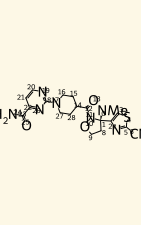 CN[C@@]1(c2csc(C#N)n2)CCON1C(=O)C1CCN(c2nccc(C(N)=O)n2)CC1